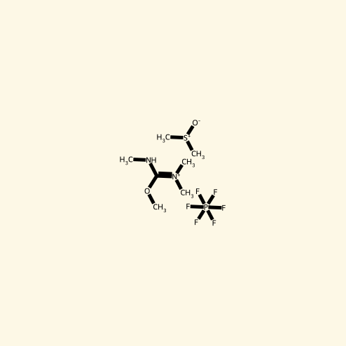 CNC(OC)=[N+](C)C.C[S+](C)[O-].F[P-](F)(F)(F)(F)F